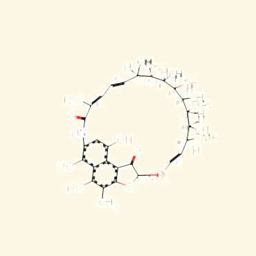 CO[C@H]1/C=C/O[C@@]2(C)Oc3c(C)c(O)c4c(O)c(cc(O)c4c3C2=O)NC(=O)/C(C)=C/C=C/[C@H](C)[C@H](O)[C@@H](C)[C@@H](O)[C@@H](C)[C@H](OC(C)=O)[C@@H]1C